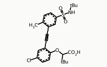 Cc1ccc(S(=O)(=O)NC(C)(C)C)cc1C#Cc1cc(Cl)ccc1OC(C(=O)O)C(C)(C)C